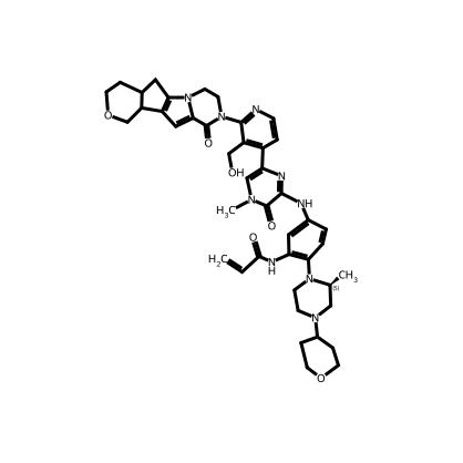 C=CC(=O)Nc1cc(Nc2nc(-c3ccnc(N4CCn5c(cc6c5CC5CCOCC65)C4=O)c3CO)cn(C)c2=O)ccc1N1CCN(C2CCOCC2)C[C@@H]1C